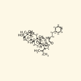 C=C(C)[C@@H]1CC[C@]2(C(=O)NCCc3ccncc3)CC[C@]3(C)[C@H](CC[C@@H]4[C@@]5(C)CC[C@H](O)C(C)(C)[C@@H]5CC[C@]43C)[C@@H]12